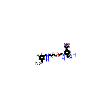 N#CCc1cc(F)cc(CNCCCCOCCNc2cc(-c3cnoc3)cc3[nH]ncc23)c1